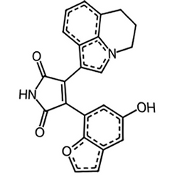 O=C1NC(=O)C(c2cc(O)cc3ccoc23)=C1c1cn2c3c(cccc13)CCC2